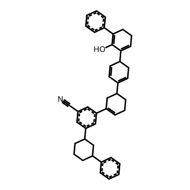 N#Cc1cc(C2=CCCC(C3=CCC(C4=CCCC(c5ccccc5)=C4O)C=C3)C2)cc(C2CCCC(c3ccccc3)C2)c1